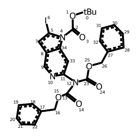 CC(C)(C)OC(=O)n1c(I)cc2cnc(N(C(=O)OCc3ccccc3)C(=O)OCc3ccccc3)cc21